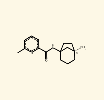 Cc1cccc(C(=O)NC23CCC[C@](N)(CC2)C3)n1